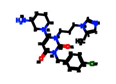 Cc1cncn1CCCn1c(N2CCC[C@@H](N)C2)cc(=O)n(Cc2ccc(Cl)cc2)c1=O